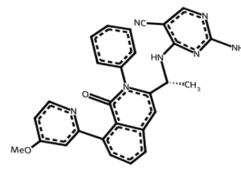 COc1ccnc(-c2cccc3cc([C@@H](C)Nc4nc(N)ncc4C#N)n(-c4ccccc4)c(=O)c23)c1